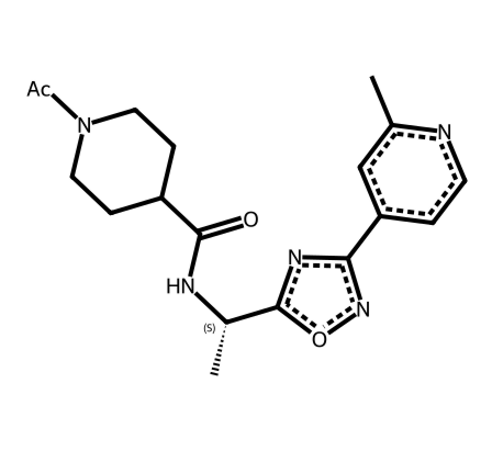 CC(=O)N1CCC(C(=O)N[C@@H](C)c2nc(-c3ccnc(C)c3)no2)CC1